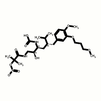 COCCCOc1cc(C[C@H](C[C@H](NC(=O)O)[C@@H](O)CNC(=O)C(C)(C)O[N+](=O)[O-])C(C)C)ccc1OC